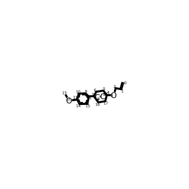 C=CCOC12CCC(c3ccc(OC)cc3)(CC1)CC2